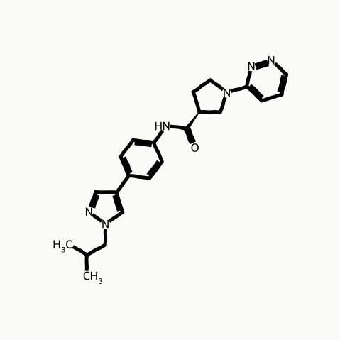 CC(C)Cn1cc(-c2ccc(NC(=O)[C@H]3CCN(c4cccnn4)C3)cc2)cn1